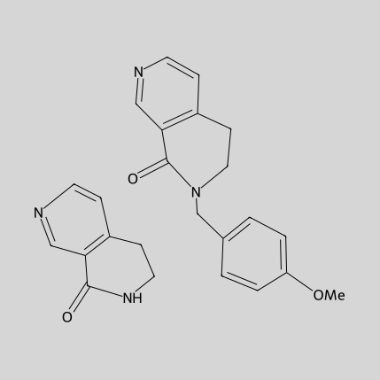 COc1ccc(CN2CCc3ccncc3C2=O)cc1.O=C1NCCc2ccncc21